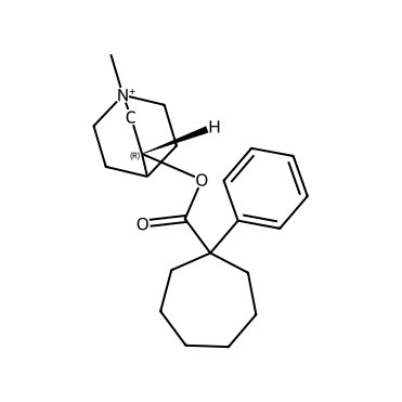 C[N+]12CCC(CC1)[C@@H](OC(=O)C1(c3ccccc3)CCCCCC1)C2